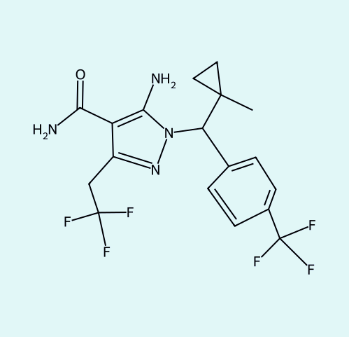 CC1(C(c2ccc(C(F)(F)F)cc2)n2nc(CC(F)(F)F)c(C(N)=O)c2N)CC1